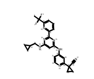 CC(F)(F)c1cccc(-c2nc(NCC3CC3)cc(Nc3ccnc(C4(C#N)CC4)c3)n2)n1